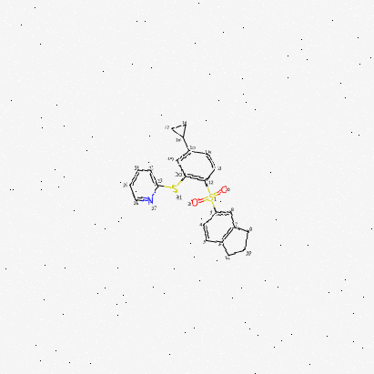 O=S(=O)(c1ccc2c(c1)CCC2)c1ccc(C2CC2)cc1Sc1ccccn1